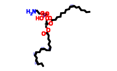 CC/C=C\C/C=C\C/C=C\C/C=C\CCCCC(=O)OC[C@H](COP(=O)(O)OCCN)OC(=O)CCCCCCC/C=C\CCCCCC